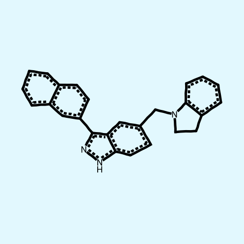 c1ccc2c(c1)CCN2Cc1ccc2[nH]nc(-c3ccc4ccccc4c3)c2c1